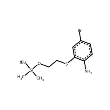 CC(C)(C)[Si](C)(C)OCCSc1cc(Br)ccc1N